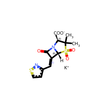 CC1(C)[C@H](C(=O)[O-])N2C(=O)/C(=C\c3ccsn3)[C@H]2S1(=O)=O.[K+]